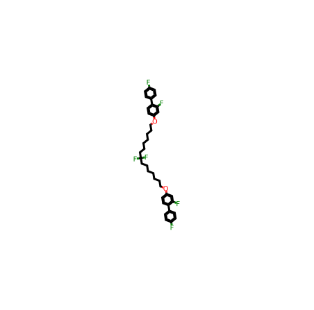 Fc1ccc(-c2ccc(OCCCCCCCC(F)(F)CCCCCCCOc3ccc(-c4ccc(F)cc4)c(F)c3)cc2F)cc1